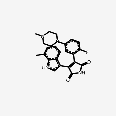 Cc1cccc2c(C3=C(c4cc(N5CCN(C)CC5)ccc4F)C(=O)NC3=O)c[nH]c12